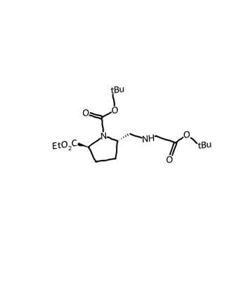 CCOC(=O)[C@@H]1CC[C@@H](CNCC(=O)OC(C)(C)C)N1C(=O)OC(C)(C)C